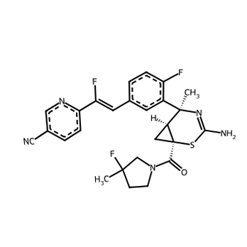 CC1(F)CCN(C(=O)[C@]23C[C@H]2[C@@](C)(c2cc(/C=C(\F)c4ccc(C#N)cn4)ccc2F)N=C(N)S3)C1